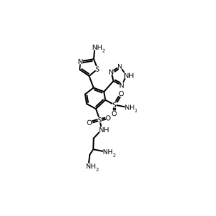 NCC(N)CNS(=O)(=O)c1ccc(-c2cnc(N)s2)c(-c2nn[nH]n2)c1S(N)(=O)=O